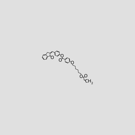 C=CC(=O)OCCCCCCOc1ccc(C(=O)Oc2ccc(/C=C3/Cc4ccccc4C3=O)cc2)cc1